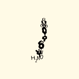 Cc1cc(C(N)=O)nn1-c1ccc2c(ccn2Cc2ccc(-c3ccc(S(=O)(=O)N4CCN(C)CC4)cc3)cc2)c1